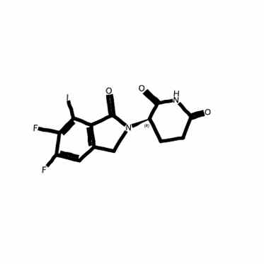 O=C1CC[C@@H](N2Cc3cc(F)c(F)c(I)c3C2=O)C(=O)N1